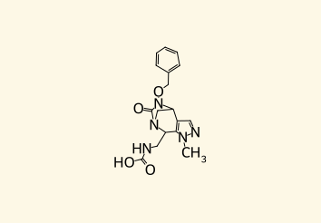 Cn1ncc2c1C(CNC(=O)O)N1CC2N(OCc2ccccc2)C1=O